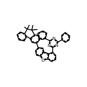 CC1(C)c2ccccc2-c2cc(-c3ccc4oc5cccc(-c6nc(-c7ccccc7)nc(-c7ccccc7)n6)c5c4c3)ccc2C1(C)C